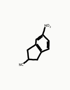 N#CC1Cc2ccc([N+](=O)[O-])cc2C1